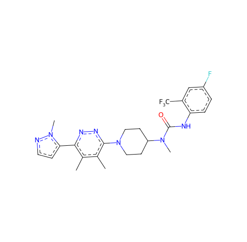 Cc1c(-c2ccnn2C)nnc(N2CCC(N(C)C(=O)Nc3ccc(F)cc3C(F)(F)F)CC2)c1C